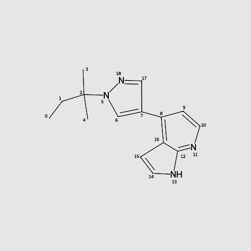 CCC(C)(C)n1cc(-c2ccnc3[nH]ccc23)cn1